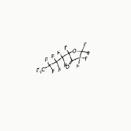 O=C1C(F)(F)C(F)(F)OC1(F)C(F)(F)C(F)(F)C(F)(F)C(F)(F)F